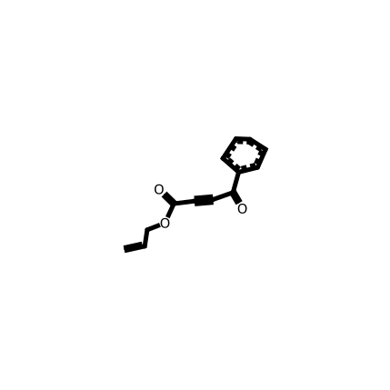 C=CCOC(=O)C#CC(=O)c1ccccc1